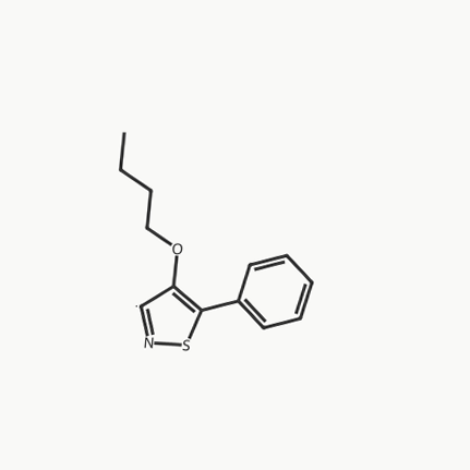 CCCCOc1[c]nsc1-c1ccccc1